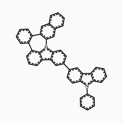 c1ccc(-n2c3ccccc3c3cc(-c4ccc5c(c4)c4cccc6c4n5-c4cc5ccccc5cc4-c4ccccc4-6)ccc32)cc1